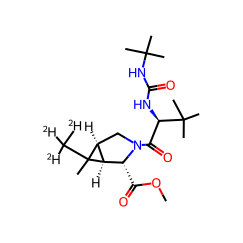 [2H]C([2H])([2H])C1(C)[C@@H]2[C@@H](C(=O)OC)N(C(=O)[C@@H](NC(=O)NC(C)(C)C)C(C)(C)C)C[C@@H]21